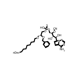 CCCCCCCCCCCCCCCCCCOC[C@H](COP(O)(=S)OC[C@@H](OC#N)[C@@H](O)[C@@H](O)c1ccc2c(N)ncnn12)OCc1ccccc1